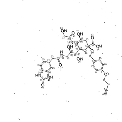 C#CCCOc1ccc(CO[C@]2(C(=O)O)C[C@H](O)[C@@H](NC(=O)CO)[C@H]([C@H](O)[C@H](O)CNC(=O)Cc3ccc4[nH]c(=O)[nH]c4c3)O2)cc1